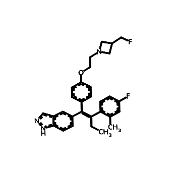 CC/C(=C(/c1ccc(OCCN2CC(CF)C2)cc1)c1ccc2[nH]ncc2c1)c1ccc(F)cc1C